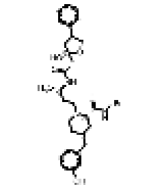 C[C@@H](CCN1CCN(Cc2cccc(O)c2)C[C@H]1C(=O)NC(C)(C)C)NC(=O)O[C@@]1(O)CC(c2ccccc2)CO1